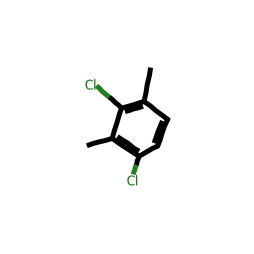 Cc1ccc(Cl)c(C)c1Cl